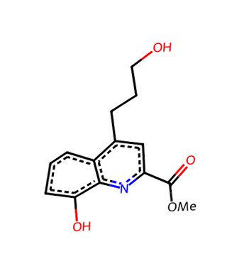 COC(=O)c1cc(CCCO)c2cccc(O)c2n1